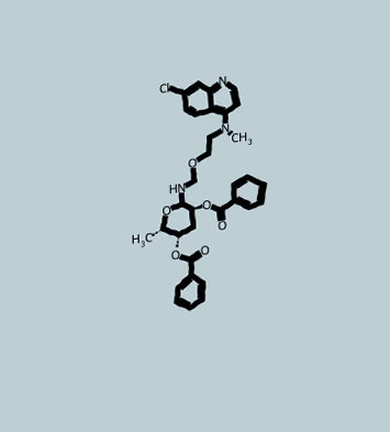 C[C@@H]1OC(NCOCCN(C)c2ccnc3cc(Cl)ccc23)[C@@H](OC(=O)c2ccccc2)C[C@@H]1OC(=O)c1ccccc1